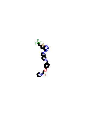 O=C(COc1ccc(CN2CCC3(CCN(c4ncnc5sc(CC(F)(F)F)cc45)C3)C2)cc1)N1CCCC1